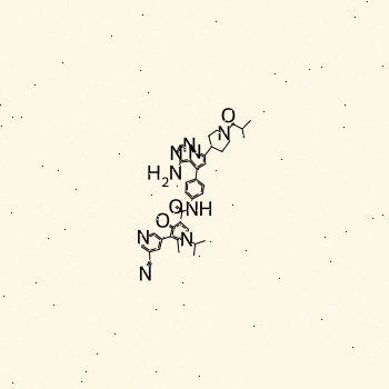 Cc1c(-c2cncc(C#N)c2)c(=O)c(C(=O)Nc2ccc(-c3cc(C4CCN(C(=O)C(C)C)CC4)n4ncnc(N)c34)cc2)cn1C(C)C